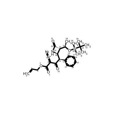 C=CCOC(=O)C(=[N+]=[N-])C(=O)[C@H](c1ccccc1)[C@H]1NC(=O)[C@@H]1[C@@H](C)O[Si](C)(C)C(C)(C)C